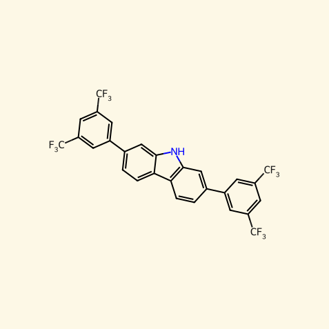 FC(F)(F)c1cc(-c2ccc3c(c2)[nH]c2cc(-c4cc(C(F)(F)F)cc(C(F)(F)F)c4)ccc23)cc(C(F)(F)F)c1